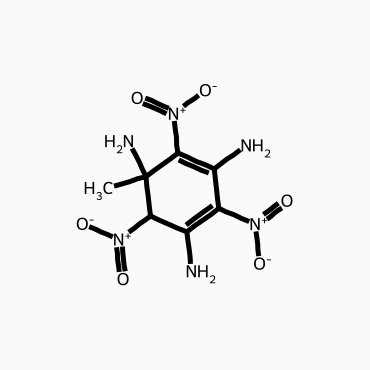 CC1(N)C([N+](=O)[O-])=C(N)C([N+](=O)[O-])=C(N)C1[N+](=O)[O-]